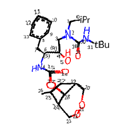 CC(C)CN(C[C@@H](O)[C@H](Cc1ccccc1)NC(=O)OC1C2COOCC1C(C)C2)C(=O)NC(C)(C)C